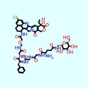 CC[C@@]1(O)C(=O)OCc2c1cc1n(c2=O)Cc2c-1nc1cc(Cl)cc3c1c2[C@@H](NC(=O)COCNC(=O)CNC(=O)[C@H](Cc1ccccc1)NC(=O)CNC(=O)CNC(=O)[C@@H](N)CCC(=O)NC[C@@H]1O[C@H](CO)[C@@H](O)[C@H](O)[C@H]1O)CC3